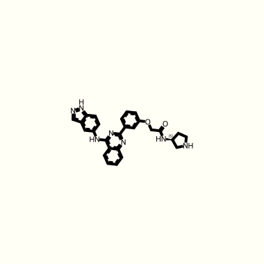 O=C(COc1cccc(-c2nc(Nc3ccc4[nH]ncc4c3)c3ccccc3n2)c1)N[C@H]1CCNC1